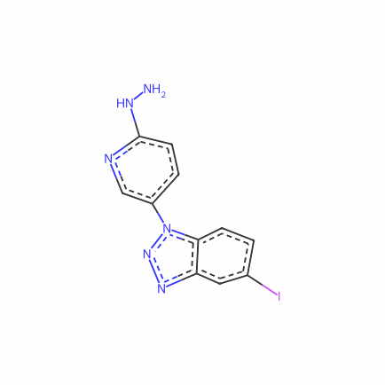 NNc1ccc(-n2nnc3cc(I)ccc32)cn1